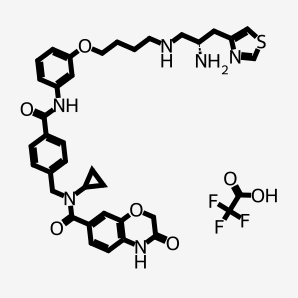 N[C@H](CNCCCCOc1cccc(NC(=O)c2ccc(CN(C(=O)c3ccc4c(c3)OCC(=O)N4)C3CC3)cc2)c1)Cc1cscn1.O=C(O)C(F)(F)F